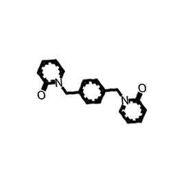 O=c1ccccn1Cc1ccc(Cn2ccccc2=O)cc1